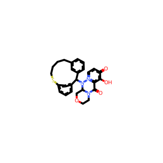 O=C1c2c(O)c(=O)ccn2N(C2c3cccc(c3)CCCCSc3cccc2c3)C2COCCN12